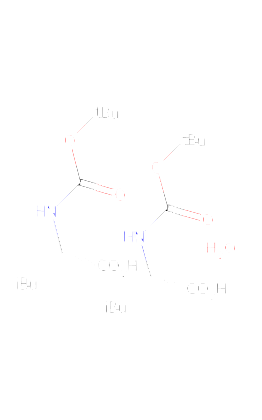 CC[C@H](C)[C@H](NC(=O)OC(C)(C)C)C(=O)O.CC[C@H](C)[C@H](NC(=O)OC(C)(C)C)C(=O)O.O